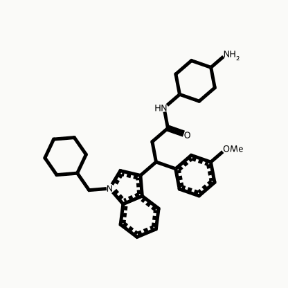 COc1cccc(C(CC(=O)NC2CCC(N)CC2)c2cn(CC3CCCCC3)c3ccccc23)c1